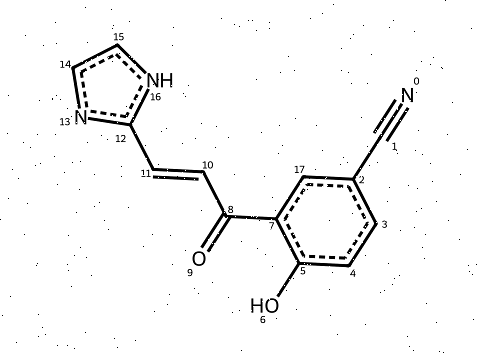 N#Cc1ccc(O)c(C(=O)/C=C/c2ncc[nH]2)c1